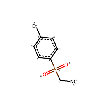 [C-]#[N+]CS(=O)(=O)c1ccc(CC)cc1